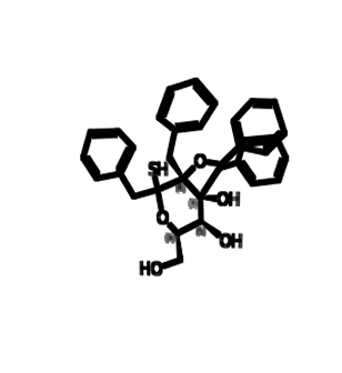 OC[C@H]1OC(S)(Cc2ccccc2)[C@](Cc2ccccc2)(OCc2ccccc2)[C@](O)(Cc2ccccc2)[C@H]1O